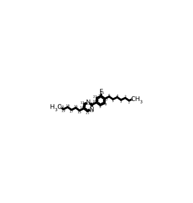 CCCCCCCc1ccc(-c2ncc(CCCCCC)cn2)cc1F